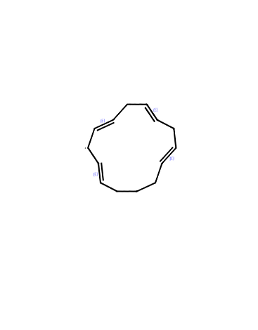 [CH]1/C=C/C/C=C/C/C=C/CCC/C=C/1